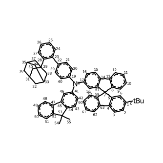 CC(C)(C)c1ccc2c(c1)C1(c3ccccc3-c3ccc(N(c4ccc(-c5ccccc5C56CC7CC(CC(C7)C5)C6)cc4)c4ccc5c(c4)-c4ccccc4C5(C)C)cc31)c1ccccc1-2